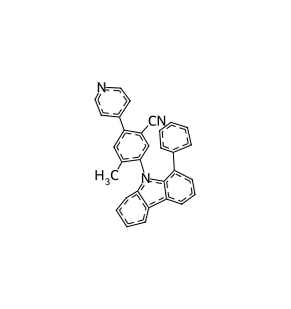 Cc1cc(-c2ccncc2)c(C#N)cc1-n1c2ccccc2c2cccc(-c3ccccc3)c21